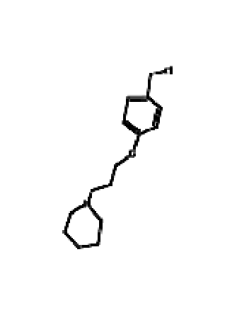 ClCc1ccc(OCCCN2CCCCC2)cc1